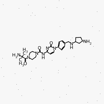 CC(C)(N)C(=O)N1CCN(C(=O)Nc2ccn(-c3ccc(CNC4CC[C@@H](N)C4)cc3)c(=O)n2)CC1